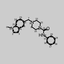 Cn1ccc2cc(CN3CCN(C(=O)Nc4ccccc4)CC3)ccc21